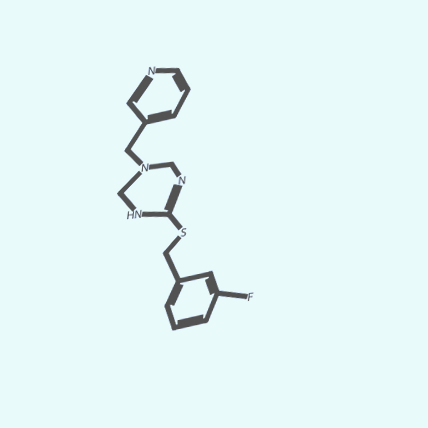 Fc1cccc(CSC2=NCN(Cc3cccnc3)CN2)c1